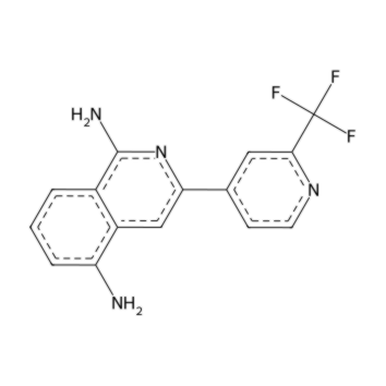 Nc1cccc2c(N)nc(-c3ccnc(C(F)(F)F)c3)cc12